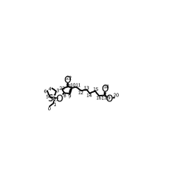 CC[Si](CC)(CC)OC1C=C(CCCCCCC(=O)OC)C(=O)C1